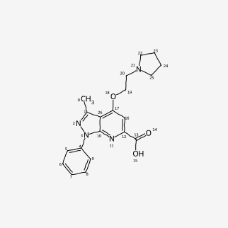 Cc1nn(-c2ccccc2)c2nc(C(=O)O)cc(OCCN3CCCC3)c12